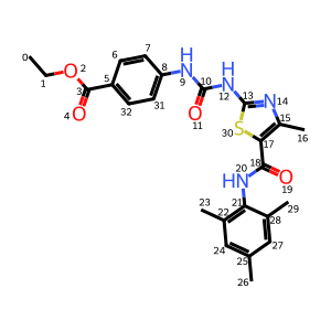 CCOC(=O)c1ccc(NC(=O)Nc2nc(C)c(C(=O)Nc3c(C)cc(C)cc3C)s2)cc1